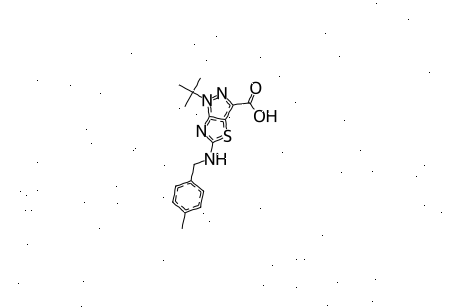 Cc1ccc(CNc2nc3c(s2)c(C(=O)O)nn3C(C)(C)C)cc1